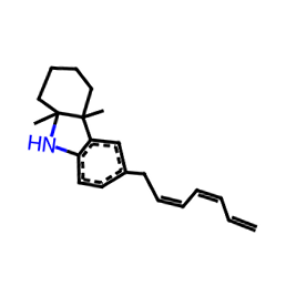 C=C/C=C\C=C/Cc1ccc2c(c1)C1(C)CCCCC1(C)N2